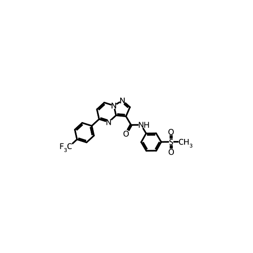 CS(=O)(=O)c1cccc(NC(=O)c2cnn3ccc(-c4ccc(C(F)(F)F)cc4)nc23)c1